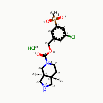 CS(=O)(=O)c1cc(Cl)cc(COC(=O)N2CC[C@@H]3CNC[C@H]3C2)c1.Cl